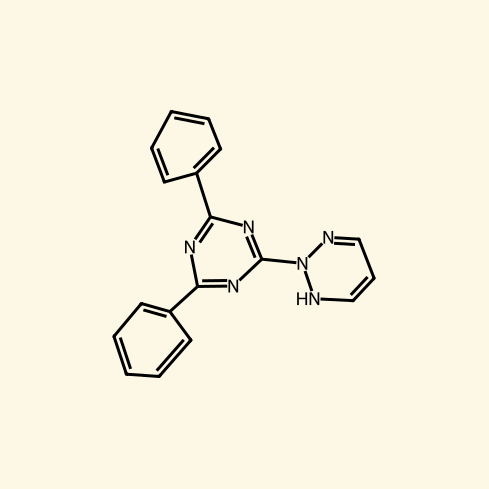 C1=CNN(c2nc(-c3ccccc3)nc(-c3ccccc3)n2)N=C1